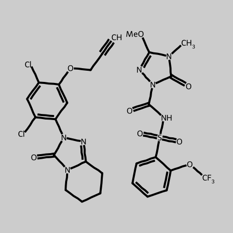 C#CCOc1cc(-n2nc3n(c2=O)CCCC3)c(Cl)cc1Cl.COc1nn(C(=O)NS(=O)(=O)c2ccccc2OC(F)(F)F)c(=O)n1C